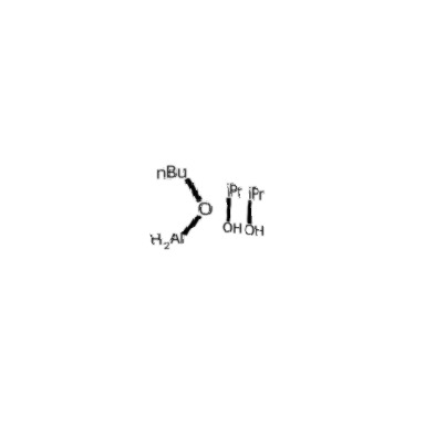 CC(C)O.CC(C)O.CCCC[O][AlH2]